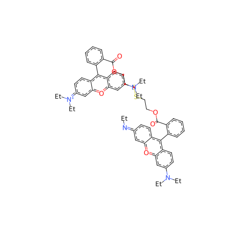 CC/N=c1\ccc2c(-c3ccccc3C(=O)OCCSSCCOC(=O)c3ccccc3-c3c4ccc(=[N+](CC)CC)cc-4oc4cc(N(CC)CC)ccc34)c3ccc(N(CC)CC)cc3oc-2c1